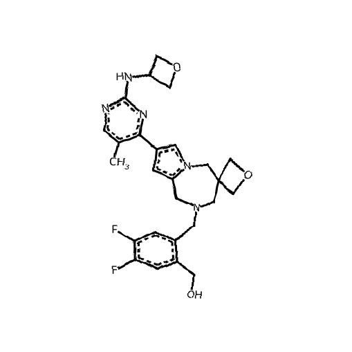 Cc1cnc(NC2COC2)nc1-c1cc2n(c1)CC1(COC1)CN(Cc1cc(F)c(F)cc1CO)C2